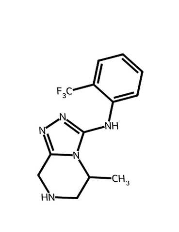 CC1CNCc2nnc(Nc3ccccc3C(F)(F)F)n21